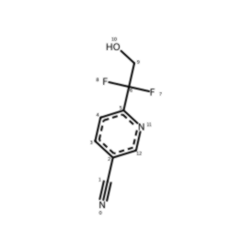 N#Cc1ccc(C(F)(F)CO)nc1